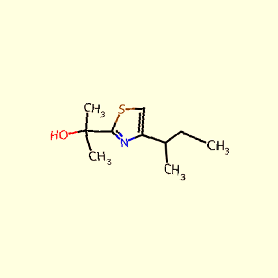 CCC(C)c1csc(C(C)(C)O)n1